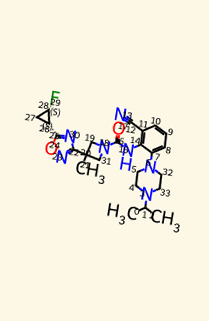 CC(C)N1CCN(c2cccc(C#N)c2NC(=O)N2CC(C)(c3noc([C@@H]4C[C@@H]4F)n3)C2)CC1